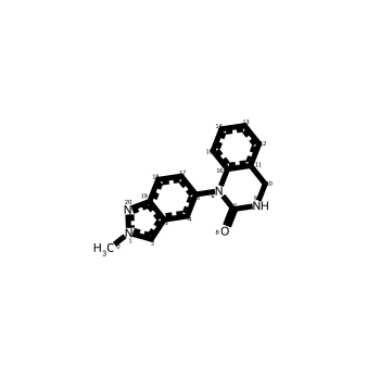 Cn1cc2cc(N3C(=O)NCc4ccccc43)ccc2n1